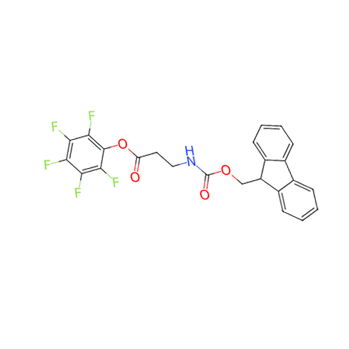 O=C(CCNC(=O)OCC1c2ccccc2-c2ccccc21)Oc1c(F)c(F)c(F)c(F)c1F